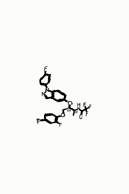 C[C@H](NC(=O)C(F)(F)F)[C@@H](COc1ccc(F)cc1F)Oc1ccc2c(cnn2-c2ccc(F)cc2)c1